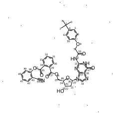 CC(C)(C)c1ccc(OCC(=O)Nc2nc3c(ncn3[C@H]3C[C@H](O)[C@@H](COC(=O)c4ccccc4C(=O)Oc4ccccc4C#N)O3)c(=O)[nH]2)cc1